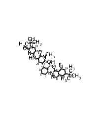 Cn1cc(-c2cccc(-n3ncc4cc(C(C)(C)C)cc(F)c4c3=O)c2CO)cc(Nc2ccn(C(C)(C)C)c(=O)n2)c1=O